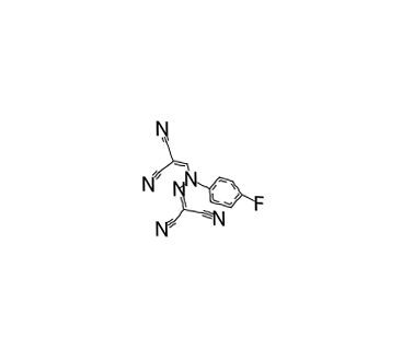 N#CC(C#N)=CN(N=C(C#N)C#N)c1ccc(F)cc1